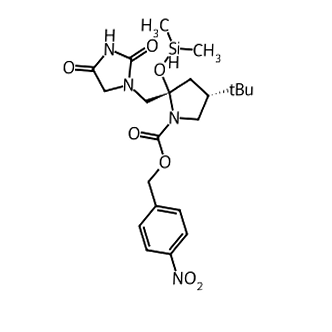 C[SiH](C)O[C@]1(CN2CC(=O)NC2=O)C[C@H](C(C)(C)C)CN1C(=O)OCc1ccc([N+](=O)[O-])cc1